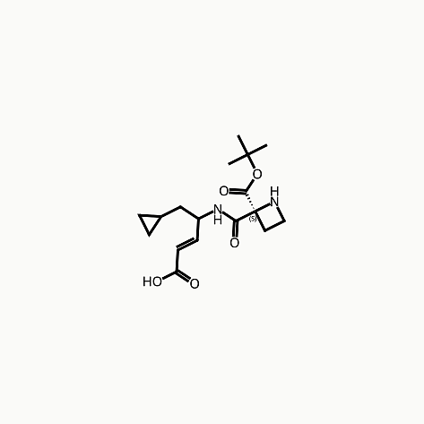 CC(C)(C)OC(=O)[C@@]1(C(=O)NC(C=CC(=O)O)CC2CC2)CCN1